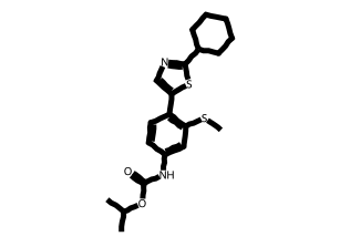 CSc1cc(NC(=O)OC(C)C)ccc1-c1cnc(C2CCCCC2)s1